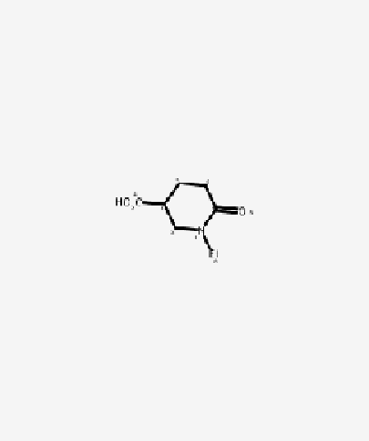 CCN1CC(C(=O)O)CCC1=O